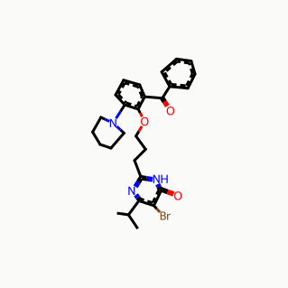 CC(C)c1nc(CCCOc2c(C(=O)c3ccccc3)cccc2N2CCCCC2)[nH]c(=O)c1Br